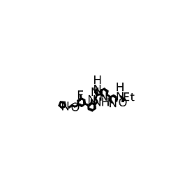 CCC(=O)Nc1cncc(-c2ccc3[nH]nc(-c4nc5c(-c6cc(F)cc(OCCN7CCCC7)c6)cccc5[nH]4)c3n2)c1